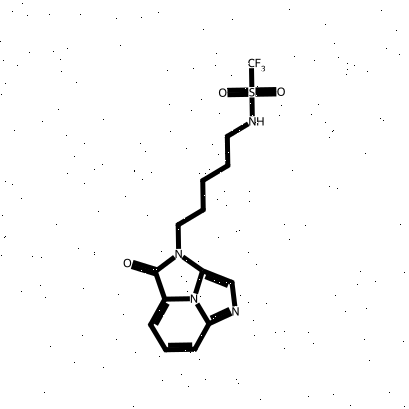 O=c1c2cccc3ncc(n1CCCCCNS(=O)(=O)C(F)(F)F)n32